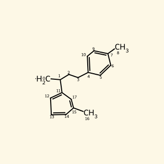 [CH2]C(CCc1ccc(C)cc1)c1cccc(C)c1